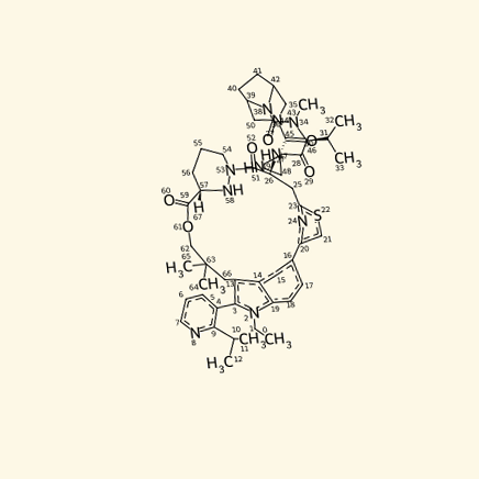 CCn1c(-c2cccnc2C(C)C)c2c3cc(ccc31)-c1csc(n1)C[C@H](NC(=O)[C@H](C(C)C)N(C)C(=O)N1C3CCC1CN(C(=O)[C@@H]1CN1)C3)C(=O)N1CCC[C@H](N1)C(=O)OCC(C)(C)C2